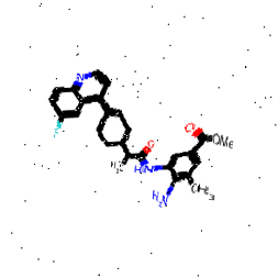 COC(=O)c1cc(C)c(N)c(NC(=O)C(C)C2CCC(c3ccnc4ccc(F)cc34)CC2)c1